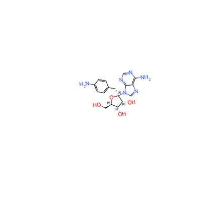 Nc1ccc(C[C@@]2(n3cnc4c(N)ncnc43)O[C@H](CO)[C@@H](O)[C@H]2O)cc1